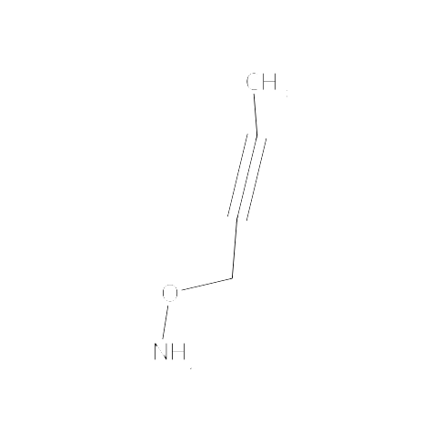 CC#CCON